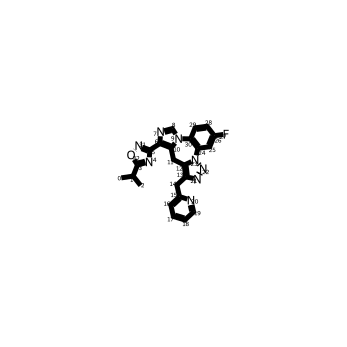 CC(C)c1nc(-c2ncn3c2Cc2c(Cc4ccccn4)nnn2-c2cc(F)ccc2-3)no1